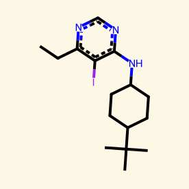 CCc1ncnc(NC2CCC(C(C)(C)C)CC2)c1I